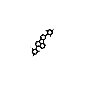 Fc1cc(F)c(-c2ccc3c(c2)-c2cccc4c(-c5c(F)cc(F)cc5F)ccc-3c24)c(F)c1